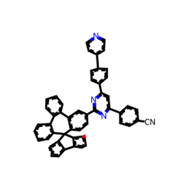 N#Cc1ccc(-c2cc(-c3ccc(-c4ccncc4)cc3)nc(-c3ccc4c(c3)-c3ccccc3-c3ccccc3C43c4ccccc4-c4ccccc43)n2)cc1